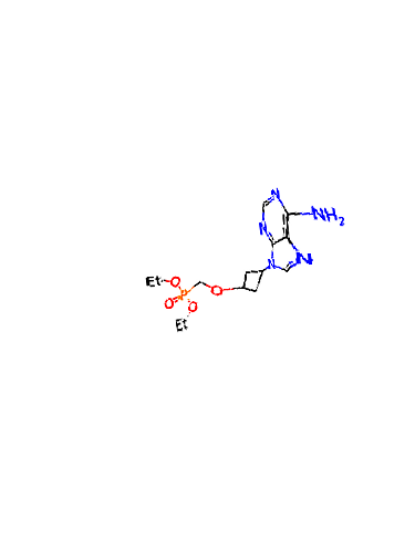 CCOP(=O)(COC1CC(n2cnc3c(N)ncnc32)C1)OCC